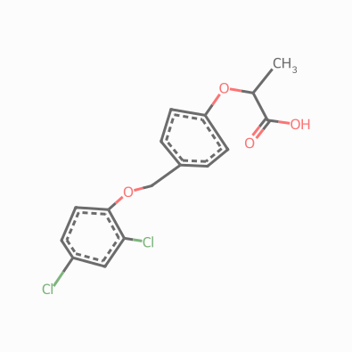 CC(Oc1ccc(COc2ccc(Cl)cc2Cl)cc1)C(=O)O